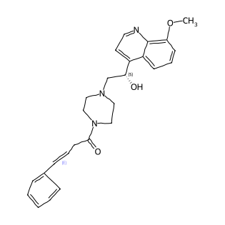 COc1cccc2c([C@H](O)CN3CCN(C(=O)C/C=C/c4ccccc4)CC3)ccnc12